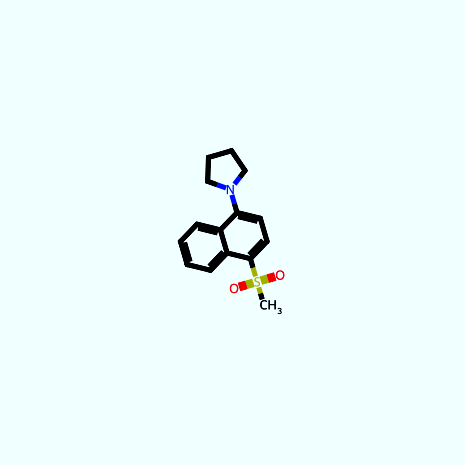 CS(=O)(=O)c1ccc(N2CCCC2)c2ccccc12